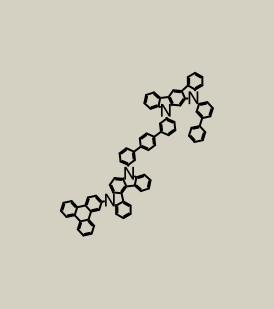 c1ccc(-c2cccc(-n3c4ccccc4c4cc5c6ccccc6n(-c6cccc(-c7ccc(-c8cccc(-n9c%10ccccc%10c%10c%11c%12ccccc%12n(-c%12ccc%13c%14ccccc%14c%14ccccc%14c%13c%12)c%11ccc%109)c8)cc7)c6)c5cc43)c2)cc1